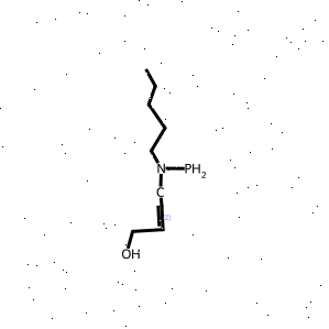 CCCCCN(P)C/C=C\CO